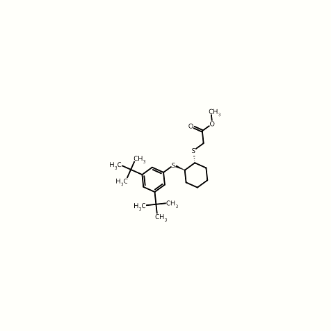 COC(=O)CS[C@@H]1CCCC[C@H]1Sc1cc(C(C)(C)C)cc(C(C)(C)C)c1